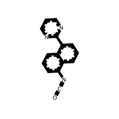 O=C=Nc1cccc2c(-c3ncccn3)cccc12